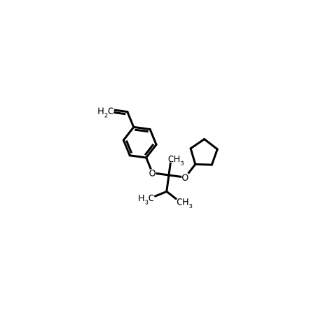 C=Cc1ccc(OC(C)(OC2CCCC2)C(C)C)cc1